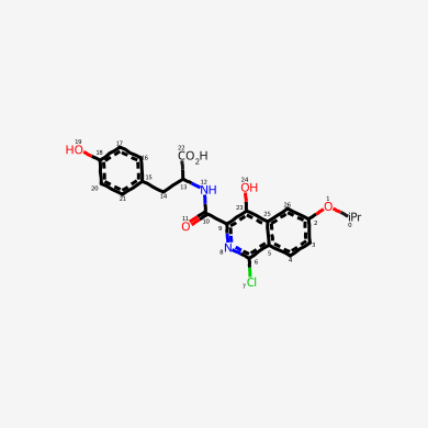 CC(C)Oc1ccc2c(Cl)nc(C(=O)NC(Cc3ccc(O)cc3)C(=O)O)c(O)c2c1